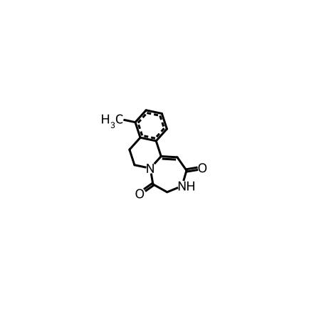 Cc1cccc2c1CCN1C(=O)CNC(=O)C=C21